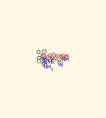 CCSC(NC(=O)OC(C)(C)C)c1cnccc1SC1=C(C(=O)O)N2C(=O)[C@@H](NC(=O)/C(=N\OC(c3ccccc3)(c3ccccc3)c3ccccc3)c3nc(N)sc3Cl)[C@@H]2SC1